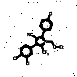 CCOCn1c(-c2ccc(Cl)cc2)c(C#N)c(-c2ccc(Cl)c(Cl)c2)c1C(F)(F)F